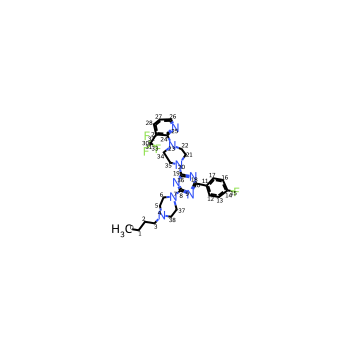 CCCCN1CCN(c2nc(-c3ccc(F)cc3)nc(N3CCN(c4ncccc4C(F)(F)F)CC3)n2)CC1